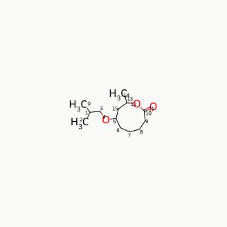 CC(C)COC1CCCCC(=O)OC(C)C1